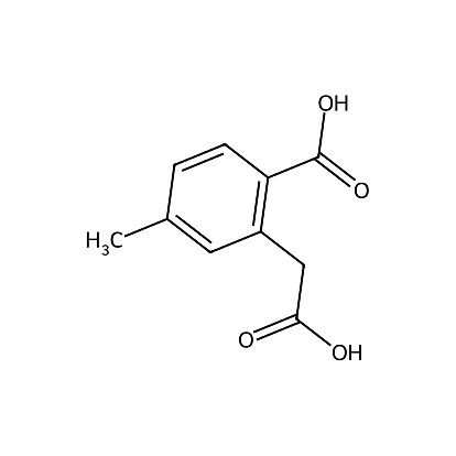 Cc1ccc(C(=O)O)c(CC(=O)O)c1